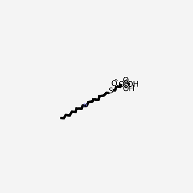 CCCCCCCC/C=C/CCCCCCCCSCC(COP(=O)(O)O)OC